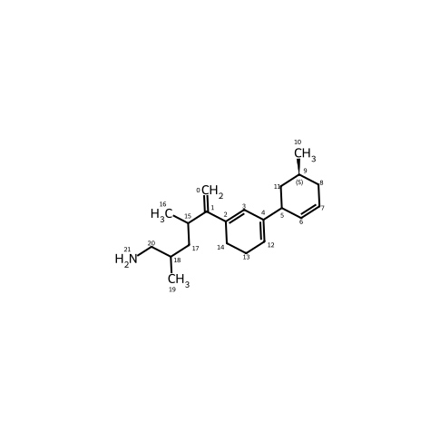 C=C(C1=CC(C2C=CC[C@H](C)C2)=CCC1)C(C)CC(C)CN